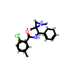 Cc1ccc(Cl)c(C(=O)NC(C2=CC=CCC2)C2(C)CN2C)c1